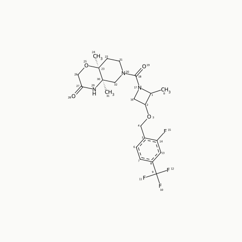 CC1C(OCc2ccc(C(F)(F)F)cc2F)CN1C(=O)N1CC[C@]2(C)OCC(=O)N[C@]2(C)C1